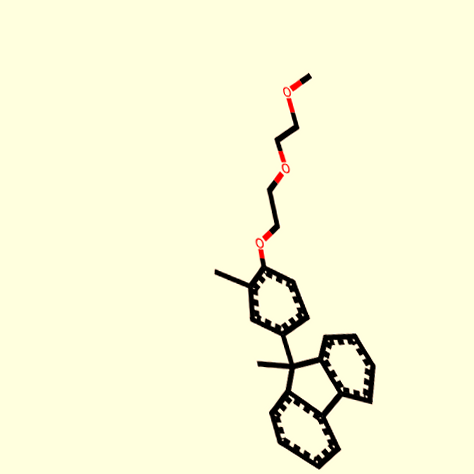 COCCOCCOc1ccc(C2(C)c3ccccc3-c3ccccc32)cc1C